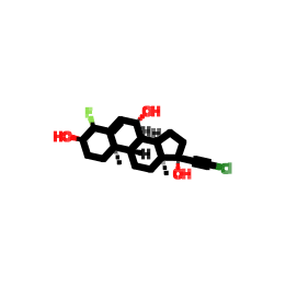 C[C@]12CC[C@@H](O)[C@@H](F)C1=C[C@H](O)[C@@H]1[C@@H]2CC[C@@]2(C)[C@H]1CC[C@@]2(O)C#CCl